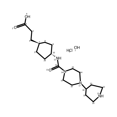 Cl.Cl.O=C(O)CC[C@H]1CC[C@H](NC(=O)N2CCN(C3CCNCC3)CC2)CC1